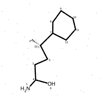 C[C@@H](CCC(N)O)C1CCCCC1